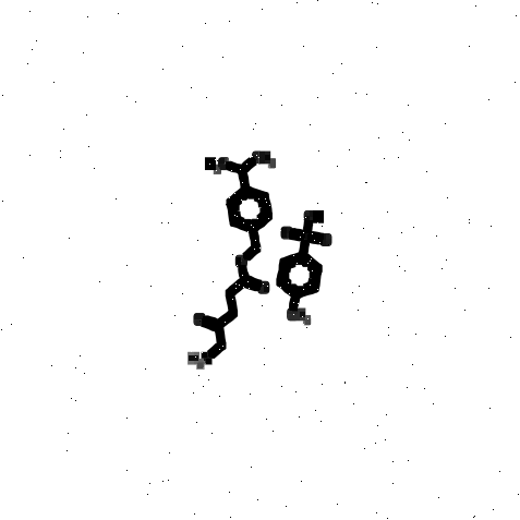 CC(C)c1ccc(COC(=O)CCC(=O)CN)cc1.Cc1ccc(S(=O)(=O)O)cc1